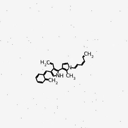 C=C/C=C\C=C\n1ccc(-c2[nH]cc(/C=c3/ccccc3=C)c2C=C)c1C